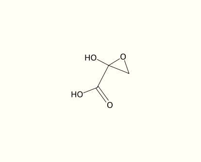 O=C(O)C1(O)CO1